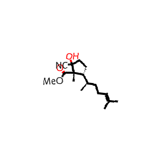 COC(=O)[C@@]1(C)[C@@H]([C@H](C)CCC=C(C)C)CCC1(O)C#N